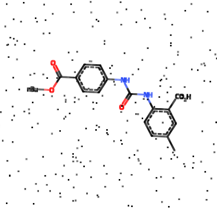 CCCCOC(=O)c1ccc(NC(=O)Nc2ccc(C)cc2C(=O)O)cc1